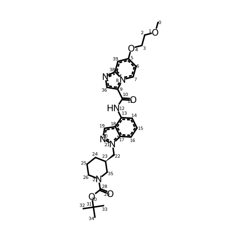 COCCOc1ccn2c(C(=O)Nc3cccc4c3cnn4C[C@@H]3CCCN(C(=O)OC(C)(C)C)C3)cnc2c1